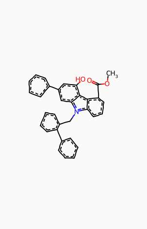 COC(=O)c1cccc2c1c1c(O)cc(-c3ccccc3)cc1n2Cc1ccccc1-c1ccccc1